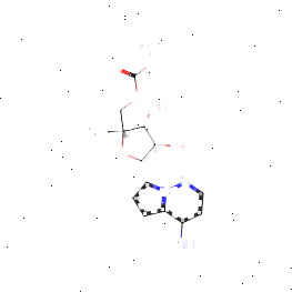 CC[C@@H](C)OC(=O)OC[C@@]1(C#N)O[C@@H](c2ccc3c(N)ccnn23)[C@H](O)[C@@H]1O